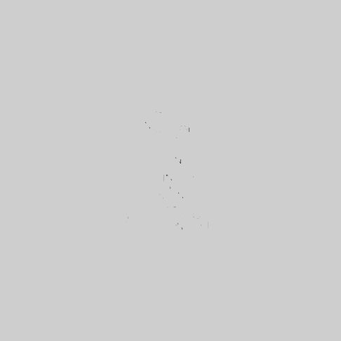 COc1ncc(C2CCOCC2)c2sc(NC(=O)N3CCC(O)(c4cccnc4)CC3)nc12